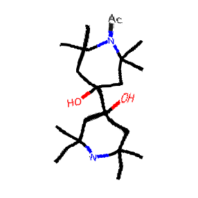 CC(=O)N1C(C)(C)CC(O)(C2(O)CC(C)(C)[N]C(C)(C)C2)CC1(C)C